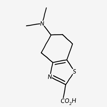 CN(C)C1CCc2sc(C(=O)O)nc2C1